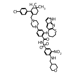 CC1(C)CCC(CN2CCN(c3ccc(C(=O)NS(=O)(=O)c4ccc(NCC5CCOCC5)c([N+](=O)[O-])c4)c(N4CCCSc5nc6[nH]ccc6cc54)c3)CC2)=C(c2ccc(Cl)cc2)C1